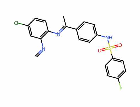 C=Nc1cc(Cl)ccc1/N=C(\C)c1ccc(NS(=O)(=O)c2ccc(F)cc2)cc1